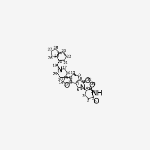 O=C1CCC(N2Cc3c(ccc4c3OCC43CCN(Cc4cccc5c4CCC5)CC3)C2=O)C(=O)N1